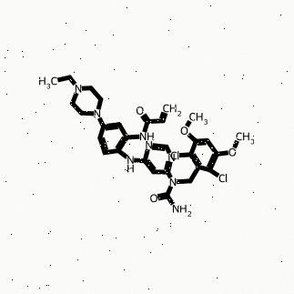 C=CC(=O)Nc1cc(N2CCN(CC)CC2)ccc1Nc1cc(N(Cc2c(Cl)c(OC)cc(OC)c2Cl)C(N)=O)ncn1